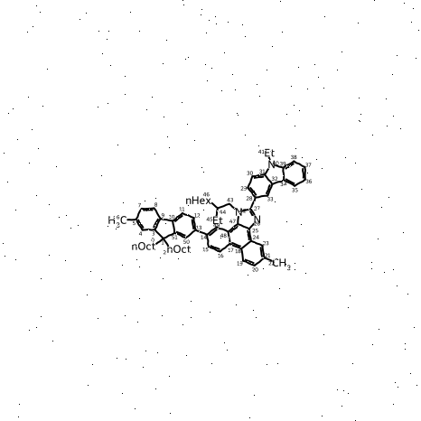 CCCCCCCCC1(CCCCCCCC)c2cc(C)ccc2-c2ccc(-c3ccc4c5ccc(C)cc5c5nc(-c6ccc7c(c6)c6ccccc6n7CC)n(CC(CC)CCCCCC)c5c4c3)cc21